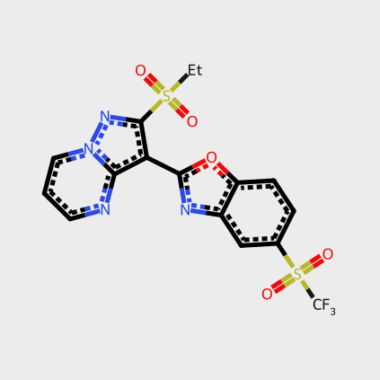 CCS(=O)(=O)c1nn2cccnc2c1-c1nc2cc(S(=O)(=O)C(F)(F)F)ccc2o1